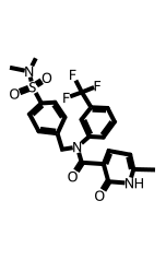 Cc1ccc(C(=O)N(Cc2ccc(S(=O)(=O)N(C)C)cc2)c2cccc(C(F)(F)F)c2)c(=O)[nH]1